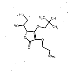 CCCCCCCCCCCCOC1=C(OCC(C)(C)O)[C@@H]([C@@H](O)CO)OC1=O